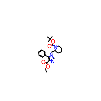 CCOC(=O)c1ncn(CC2CCCCN2C(=O)OC(C)(C)C)c1-c1ccccc1